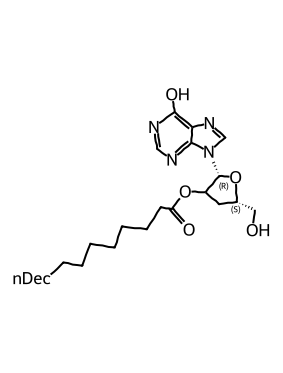 CCCCCCCCCCCCCCCCCC(=O)OC1C[C@@H](CO)O[C@H]1n1cnc2c(O)ncnc21